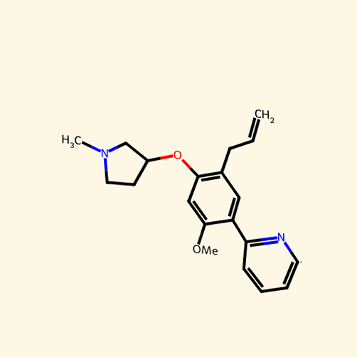 C=CCc1cc(-c2ccc[c]n2)c(OC)cc1OC1CCN(C)C1